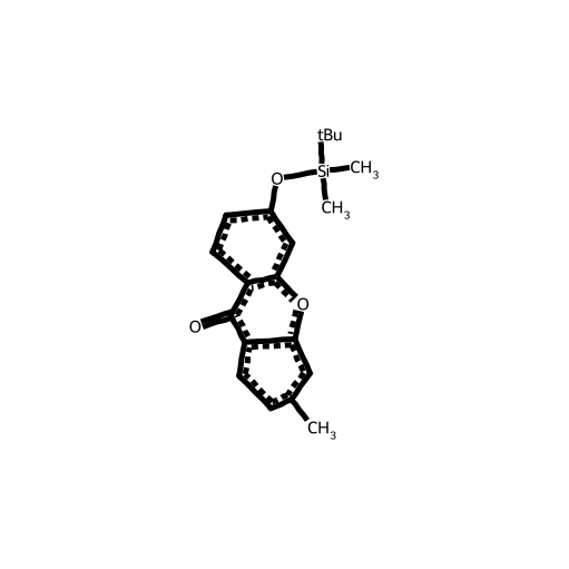 Cc1ccc2c(=O)c3ccc(O[Si](C)(C)C(C)(C)C)cc3oc2c1